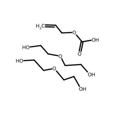 C=CCOC(=O)O.OCCOCCO.OCCOCCO